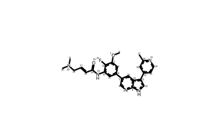 COc1cc(-c2cnc3[nH]cc(-c4ccnc(C)c4)c3c2)cc(NC(=O)/C=C/CN(C)C)c1F